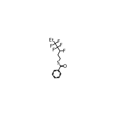 CCC(F)(F)C(F)(F)C(F)CCSC(=O)c1ccccc1